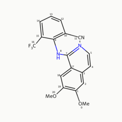 COc1cc2ccnc(Nc3c(C#N)cccc3C(F)(F)F)c2cc1OC